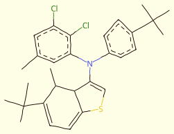 Cc1cc(Cl)c(Cl)c(N(C2=CSC3=CC=C(C(C)(C)C)C(C)C32)c2ccc(C(C)(C)C)cc2)c1